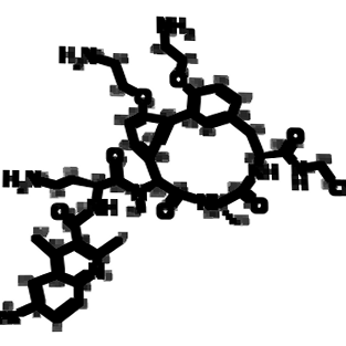 CCCCCCc1ccc2nc(C)c(C(=O)N[C@@H](CCN)C(=O)N(C)[C@@H]3C(=O)N[C@@H](C)C(=O)N[C@H](C(=O)NCC#N)Cc4ccc(OCCN)c(c4)-c4cc3ccc4OCCN)c(C)c2c1